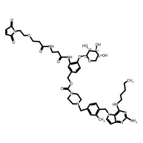 CCCCCNc1nc(N)nc2ccn(Cc3ccc(CN4CCN(C(=O)OCc5ccc(O[C@@H]6OC[C@@H](O)[C@H](O)[C@H]6O)c(NC(=O)CCNC(=O)CCOCCN6C(=O)C=CC6=O)c5)CC4)cc3C)c12